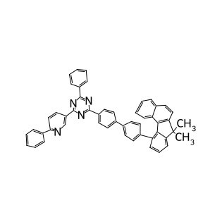 CC1(C)c2cccc(-c3ccc(-c4ccc(-c5nc(-c6ccccc6)nc(-c6ccc(-c7ccccc7)nc6)n5)cc4)cc3)c2-c2c1ccc1ccccc21